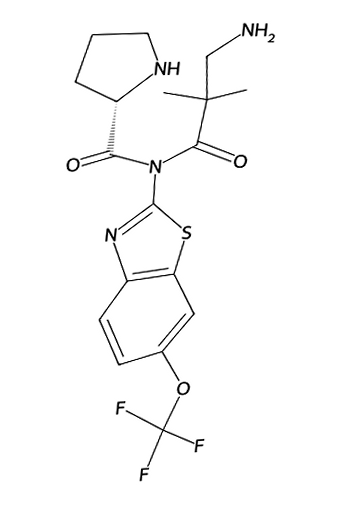 CC(C)(CN)C(=O)N(C(=O)[C@@H]1CCCN1)c1nc2ccc(OC(F)(F)F)cc2s1